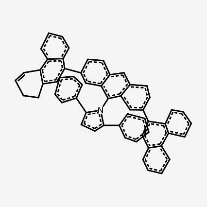 C1=Cc2c(cc(-c3ccc4cc5ccc(-c6cc7ccccc7c7ccccc67)cc5c(-n5c(-c6ccccc6)ccc5-c5ccccc5)c4c3)c3ccccc23)CC1